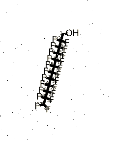 OCC(F)(F)C(F)(F)C(F)(F)C(F)(F)C(F)(F)C(F)(F)C(F)(F)C(F)(F)C(F)(F)C(F)(F)C(F)F